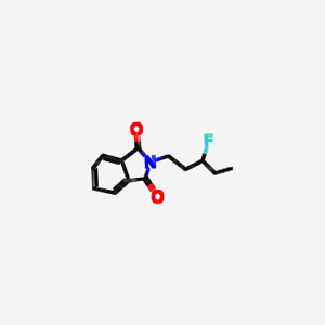 CCC(F)CCN1C(=O)c2ccccc2C1=O